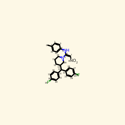 Cc1ccc(NC(=C[N+](=O)[O-])N2CCCC(C(c3ccc(F)cc3)c3ccc(F)cc3)C2)cc1